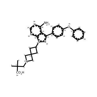 CC(C)(CN1CC2(CC(n3nc(-c4ccc(Oc5ccccc5)cc4)c4c(N)ncnc43)C2)C1)C(=O)O